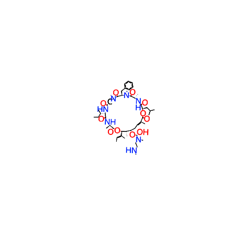 C/C=C(\C)[C@H]1OC(=O)[C@@H](C)NC(=O)[C@H](C(C)CC)NC(=O)CN(C)C(=O)[C@@H](Cc2ccccc2)N(C)C(=O)[C@H](C)NC(=O)[C@@H](CC(C)C)OC(=O)/C(C)=C/C[C@H](OC(O)N(C)CCNC)[C@@H]1C